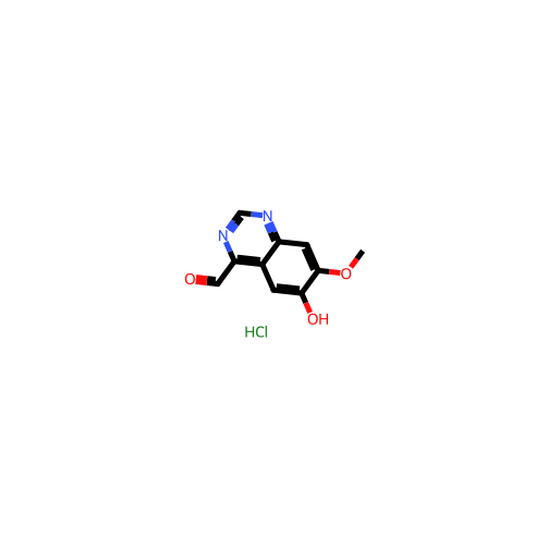 COc1cc2ncnc(C=O)c2cc1O.Cl